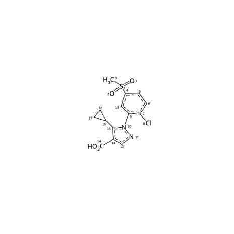 CS(=O)(=O)c1ccc(Cl)c(-n2ncc(C(=O)O)c2C2CC2)c1